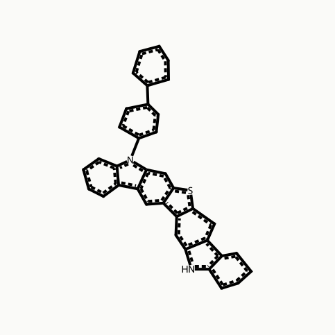 c1ccc(-c2ccc(-n3c4ccccc4c4cc5c(cc43)sc3cc4c(cc35)[nH]c3ccccc34)cc2)cc1